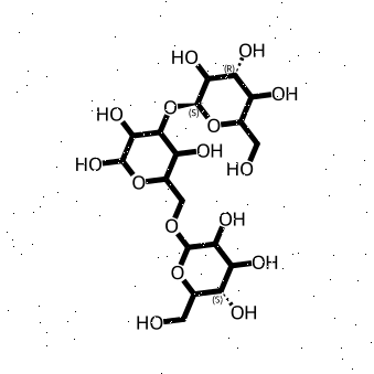 OCC1O[C@@H](OC2C(O)C(O)OC(COC3OC(CO)[C@@H](O)C(O)C3O)C2O)C(O)[C@H](O)C1O